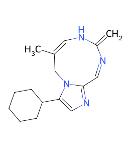 C=C1/N=C\c2ncc(C3CCCCC3)n2C/C(C)=C\N1